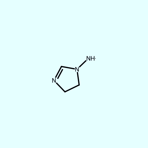 [NH]N1C=NCC1